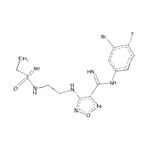 CCS(=N)(=O)NCCNc1nonc1C(=N)Nc1ccc(F)c(Br)c1